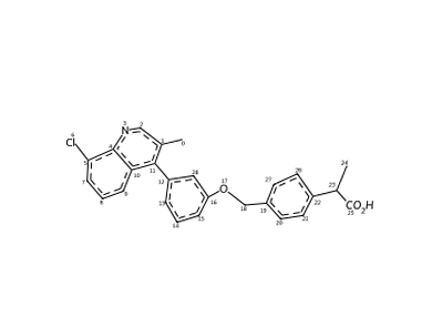 Cc1cnc2c(Cl)cccc2c1-c1cccc(OCc2ccc(C(C)C(=O)O)cc2)c1